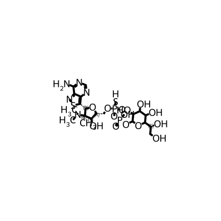 CN(C)[C@]1(C)[C@H](O)[C@@H](COP(=O)(S)OP(=O)(O)OC2OC([C@@H](O)CO)C(O)C(O)C2O)O[C@H]1c1snc2c(N)ncnc12